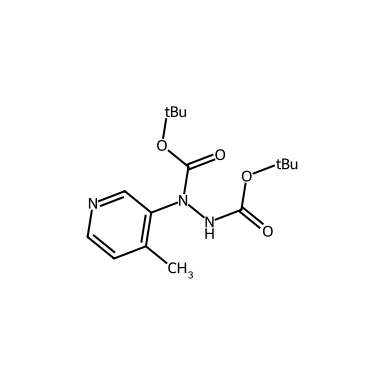 Cc1ccncc1N(NC(=O)OC(C)(C)C)C(=O)OC(C)(C)C